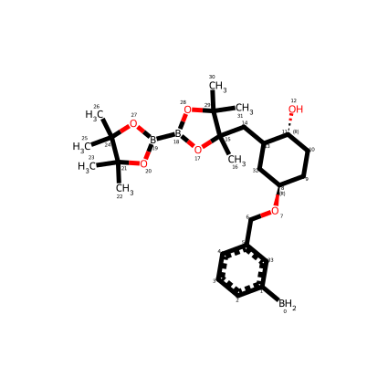 Bc1cccc(CO[C@@H]2CC[C@@H](O)C(CC3(C)OB(B4OC(C)(C)C(C)(C)O4)OC3(C)C)C2)c1